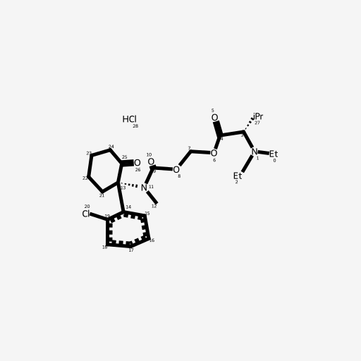 CCN(CC)[C@H](C(=O)OCOC(=O)N(C)[C@]1(c2ccccc2Cl)CCCCC1=O)C(C)C.Cl